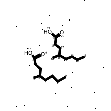 CCCCC(C)CCC(=O)O.CCCCC(C)CCC(=O)O